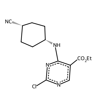 CCOC(=O)c1cnc(Cl)nc1N[C@H]1CC[C@@H](C#N)CC1